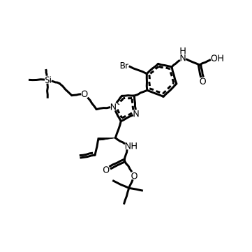 C=CC[C@H](NC(=O)OC(C)(C)C)c1nc(-c2ccc(NC(=O)O)cc2Br)cn1COCC[Si](C)(C)C